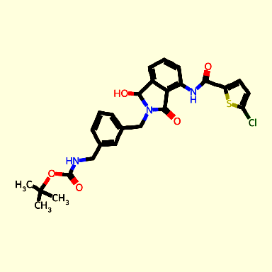 CC(C)(C)OC(=O)NCc1cccc(CN2C(=O)c3c(NC(=O)c4ccc(Cl)s4)cccc3C2O)c1